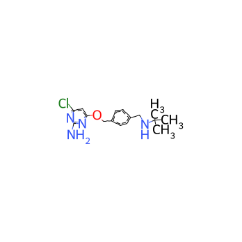 CC(C)(C)NCc1ccc(COc2cc(Cl)nc(N)n2)cc1